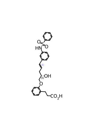 O=C(O)CCc1ccccc1OC[C@@H](O)C/C=C/c1cccc(NS(=O)(=O)c2ccccc2)c1